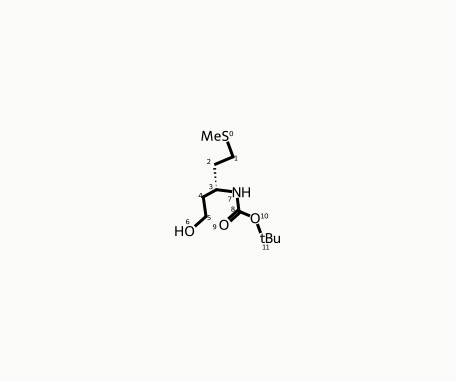 CSCC[C@@H](CCO)NC(=O)OC(C)(C)C